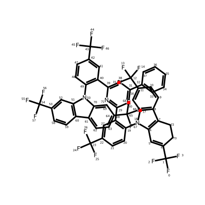 FC(F)(F)C1=Cc2c(c3ccc(C(F)(F)F)cc3n2-c2ccc(C(F)(F)F)cc2-c2nc(-c3ccccc3)nc(-c3cc(C(F)(F)F)ccc3-n3c4cc(C(F)(F)F)ccc4c4ccc(C(F)(F)F)cc43)n2)CC1